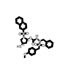 COc1ccc(CS(=O)(=O)N(Cc2ccccc2)NC(=O)O[C@H]2C[C@@H](S)CN2S(=O)(=O)c2ccc3ccccc3c2)cc1